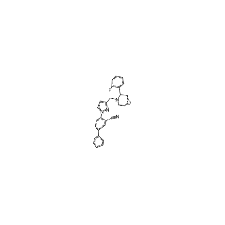 N#Cc1cc(-c2ccccc2)ccc1-n1ccc(CN2CCOCC2c2ccccc2F)n1